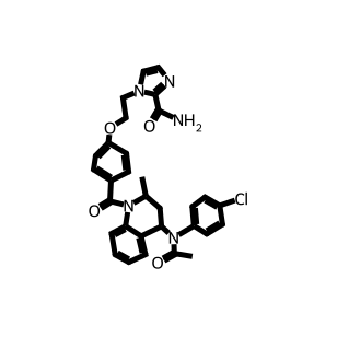 CC(=O)N(c1ccc(Cl)cc1)C1CC(C)N(C(=O)c2ccc(OCCn3ccnc3C(N)=O)cc2)c2ccccc21